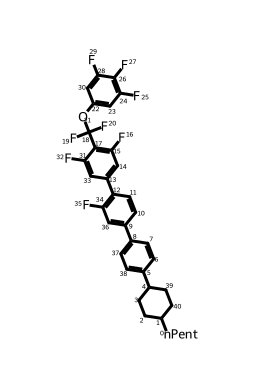 CCCCCC1CCC(c2ccc(-c3ccc(-c4cc(F)c(C(F)(F)Oc5cc(F)c(F)c(F)c5)c(F)c4)c(F)c3)cc2)CC1